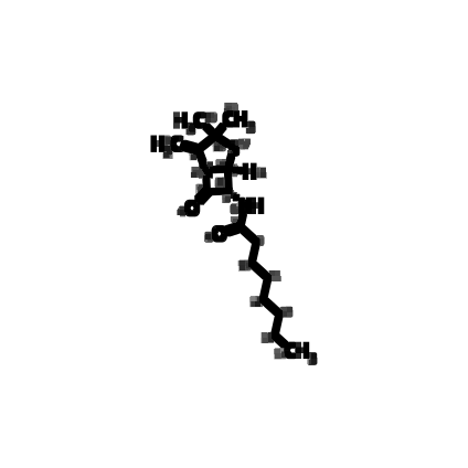 C=C1N2C(=O)[C@@H](NC(=O)CCCCCCC)[C@H]2SC1(C)C